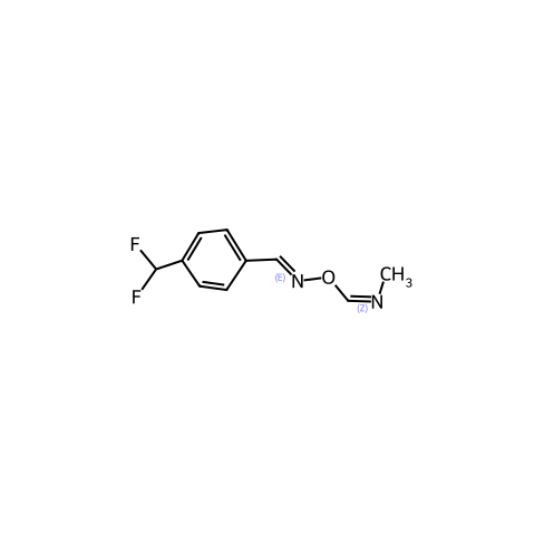 C/N=C\O/N=C/c1ccc(C(F)F)cc1